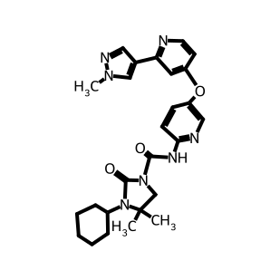 Cn1cc(-c2cc(Oc3ccc(NC(=O)N4CC(C)(C)N(C5CCCCC5)C4=O)nc3)ccn2)cn1